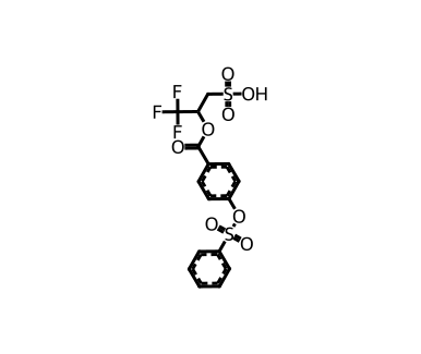 O=C(OC(CS(=O)(=O)O)C(F)(F)F)c1ccc(OS(=O)(=O)c2ccccc2)cc1